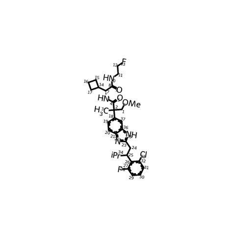 COCC(C)(C(=O)N[C@@H](C(=O)NCCF)C1CCC1)c1ccc2nc(CC(c3c(F)cccc3Cl)C(C)C)[nH]c2c1